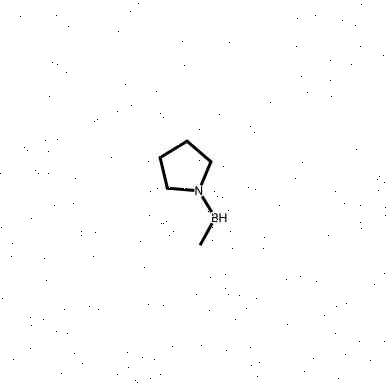 CBN1CCCC1